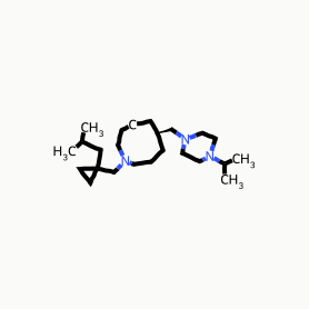 CC(C)CC1(CN2CCCC[C@@H](CN3CCN(C(C)C)CC3)CCC2)CC1